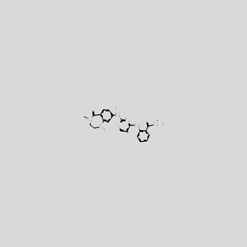 CNC(=O)c1ccccc1Nc1nc(Nc2ccc3c(c2)N(C)CCN(C)C3=O)ncc1Cl